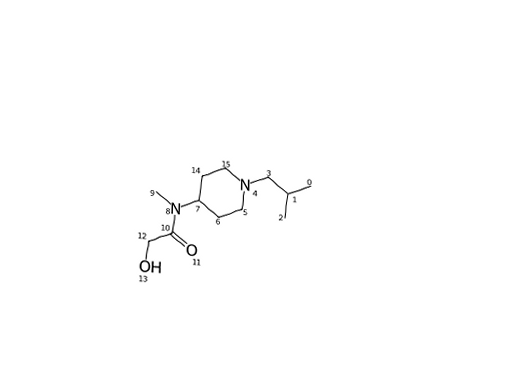 CC(C)CN1CCC(N(C)C(=O)CO)CC1